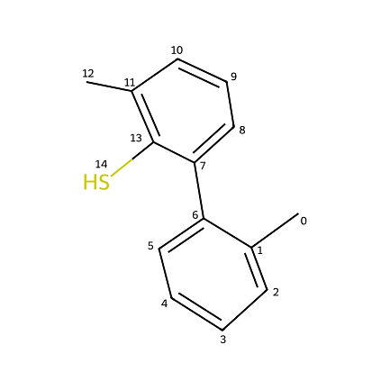 Cc1ccccc1-c1cccc(C)c1S